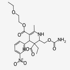 CCOCCOC(=O)C1=C(C)NC(COC(N)=O)C(CC)(C(=O)O)C1c1cccc([N+](=O)[O-])c1